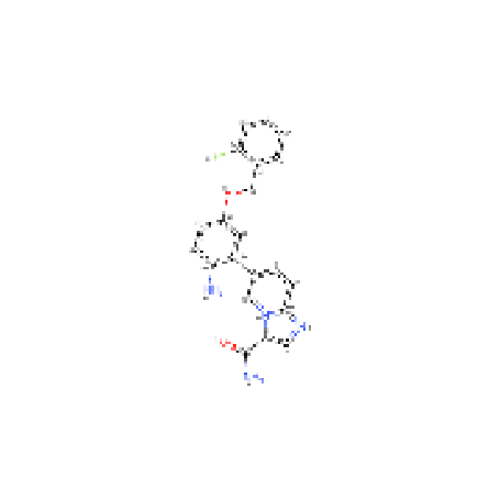 NC(=O)c1cnc2ccc(-c3cc(OCc4ccccc4F)ccc3N)cn12